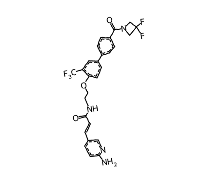 Nc1ccc(/C=C/C(=O)NCCOc2ccc(-c3ccc(C(=O)N4CC(F)(F)C4)cc3)cc2C(F)(F)F)cn1